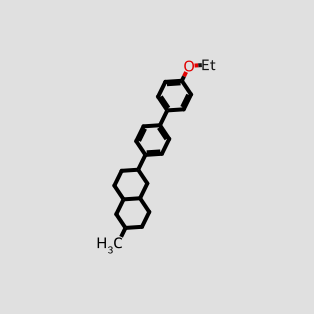 CCOc1ccc(-c2ccc(C3CCC4CC(C)CCC4C3)cc2)cc1